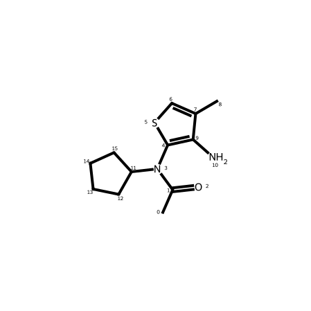 CC(=O)N(c1scc(C)c1N)C1CCCC1